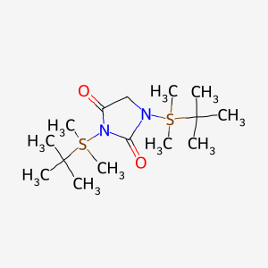 CC(C)(C)S(C)(C)N1CC(=O)N(S(C)(C)C(C)(C)C)C1=O